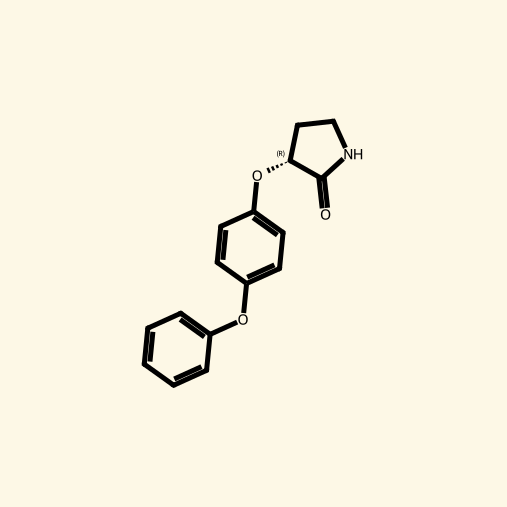 O=C1NCC[C@H]1Oc1ccc(Oc2ccccc2)cc1